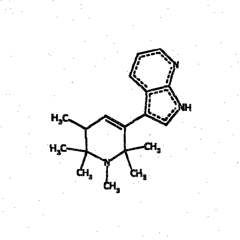 CC1C=C(c2c[nH]c3ncccc23)C(C)(C)N(C)C1(C)C